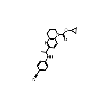 CC(Nc1ccc(C#N)cc1)c1ccc2c(n1)CCCN2C(=O)OC1CC1